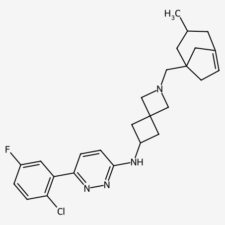 CC1CC2=CCC(CN3CC4(CC(Nc5ccc(-c6cc(F)ccc6Cl)nn5)C4)C3)(C2)C1